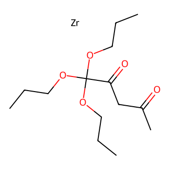 CCCOC(OCCC)(OCCC)C(=O)CC(C)=O.[Zr]